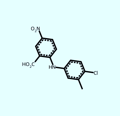 Cc1cc(Nc2ccc([N+](=O)[O-])cc2C(=O)O)ccc1Cl